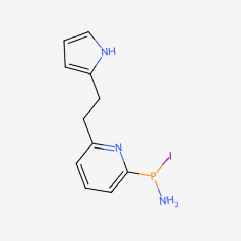 NP(I)c1cccc(CCc2ccc[nH]2)n1